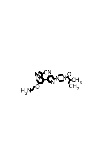 C=CC(C)C(=O)N1CCN(c2ccc(-c3cc(OCCN)cn4ncc(C#N)c34)cn2)CC1